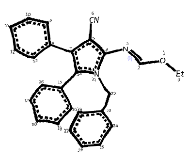 CCO/C=N/c1c(C#N)c(-c2ccccc2)c(-c2ccccc2)n1Cc1ccccc1